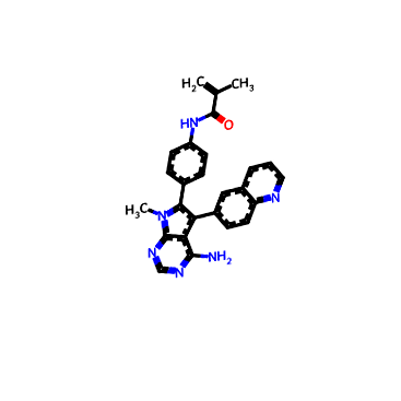 C=C(C)C(=O)Nc1ccc(-c2c(-c3ccc4ncccc4c3)c3c(N)ncnc3n2C)cc1